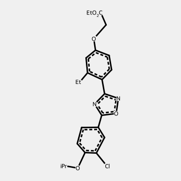 CCOC(=O)COc1ccc(-c2noc(-c3ccc(OC(C)C)c(Cl)c3)n2)c(CC)c1